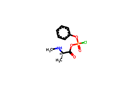 CN[C@@H](C)C(=O)OP(=O)(Cl)Oc1ccccc1